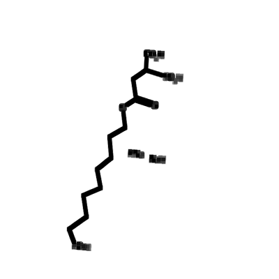 CCCCCCCCCCCCCCCCCCOC(=O)CC(C(=O)O)S(=O)(=O)O.[NaH].[NaH]